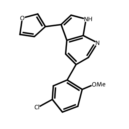 COc1ccc(Cl)cc1-c1cnc2[nH]cc(-c3ccoc3)c2c1